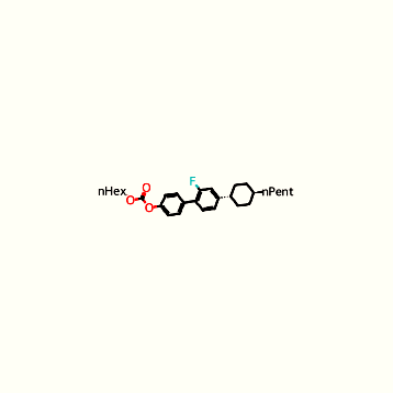 CCCCCCOC(=O)Oc1ccc(-c2ccc([C@H]3CC[C@H](CCCCC)CC3)cc2F)cc1